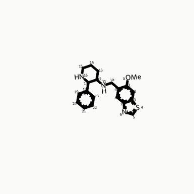 COc1cc2scnc2cc1CNC1CCCNC1c1ccccc1